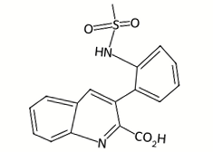 CS(=O)(=O)Nc1ccccc1-c1cc2ccccc2nc1C(=O)O